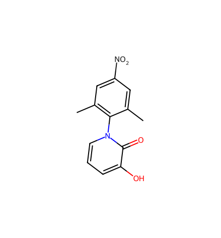 Cc1cc([N+](=O)[O-])cc(C)c1-n1cccc(O)c1=O